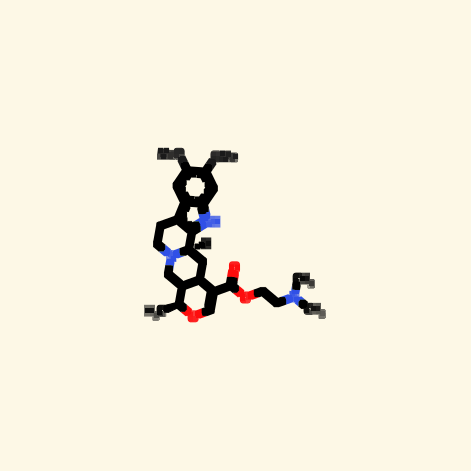 COc1cc2[nH]c3c(c2cc1OC)CCN1CC2C(C[C@H]31)C(C(=O)OCCN(C)C)=CO[C@H]2C